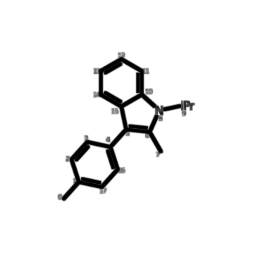 Cc1ccc(-c2c(C)n(C(C)C)c3ccccc23)cc1